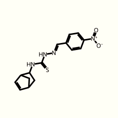 O=[N+]([O-])c1ccc(C=NNC(=S)NC2CC3C=CC2C3)cc1